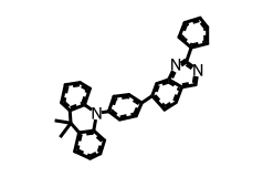 CC1(C)c2ccccc2N(c2ccc(-c3ccc4cnc(-c5ccccc5)nc4c3)cc2)c2ccccc21